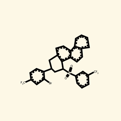 O=S(=O)(c1cccc(C(F)(F)F)c1)C1CC(c2ccc(C(F)(F)F)cc2Br)Cc2ccc3c(ccc4ccccc43)c21